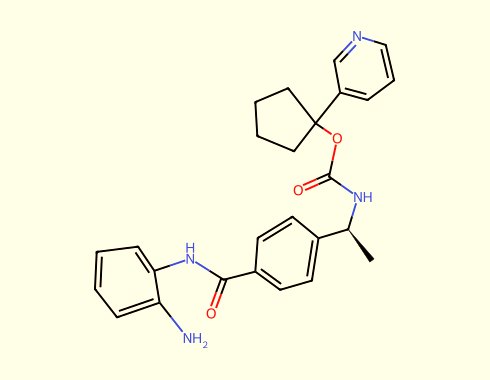 C[C@H](NC(=O)OC1(c2cccnc2)CCCC1)c1ccc(C(=O)Nc2ccccc2N)cc1